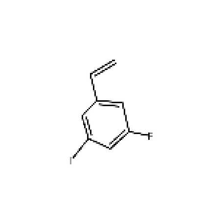 C=Cc1cc(F)cc(I)c1